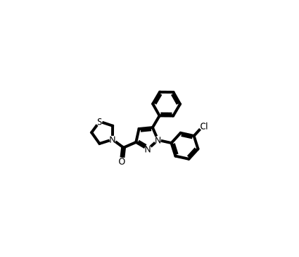 O=C(c1cc(-c2ccccc2)n(-c2cccc(Cl)c2)n1)N1CCSC1